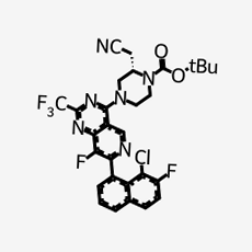 CC(C)(C)OC(=O)N1CCN(c2nc(C(F)(F)F)nc3c(F)c(-c4cccc5ccc(F)c(Cl)c45)ncc23)C[C@@H]1CC#N